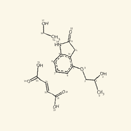 CC(O)COc1cccc2c1CC(=O)N2.CCO.O=C(O)/C=C/C(=O)O